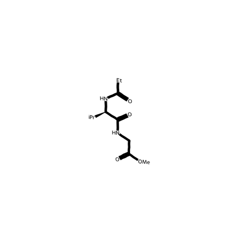 CCC(=O)N[C@@H](C(=O)NCC(=O)OC)C(C)C